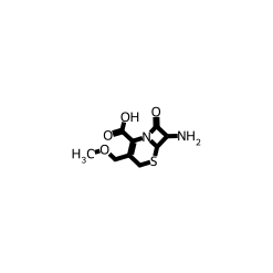 COCC1=C(C(=O)O)N2C(=O)C(N)C2SC1